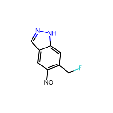 O=Nc1cc2cn[nH]c2cc1CF